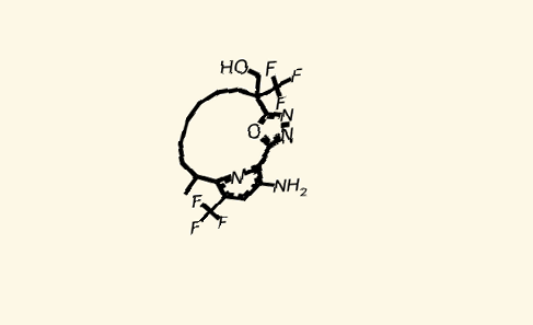 CC1CCCCCCC(CO)(C(F)(F)F)c2nnc(o2)-c2nc1c(C(F)(F)F)cc2N